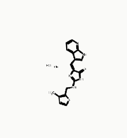 Cc1ccsc1CNC1=NC(=Cc2c[nH]c3ncccc23)C(=O)N1.Cl.Cl